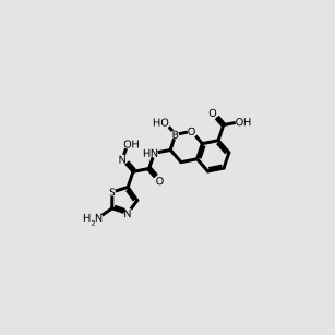 Nc1ncc(C(=NO)C(=O)NC2Cc3cccc(C(=O)O)c3OB2O)s1